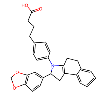 O=C(O)CCCc1ccc(N2C3=C(CC2c2ccc4c(c2)OCO4)c2ccccc2CC3)cc1